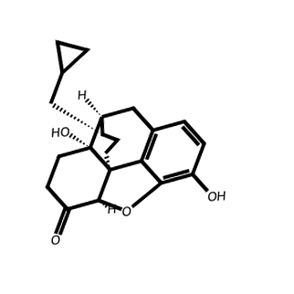 O=C1CC[C@@]2(O)[C@H]3Cc4ccc(O)c5c4[C@@]2(CC[C@@H]3CC2CC2)[C@H]1O5